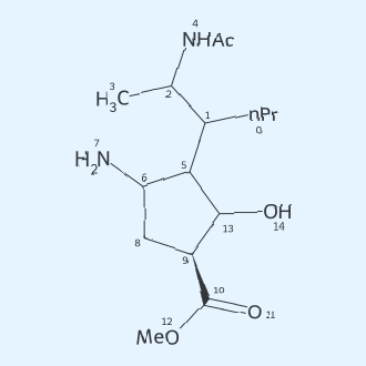 CCCC(C(C)NC(C)=O)C1C(N)C[C@H](C(=O)OC)C1O